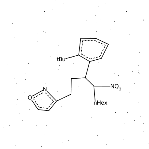 CCCCCCC(C(CCc1ccon1)c1ccccc1C(C)(C)C)[N+](=O)[O-]